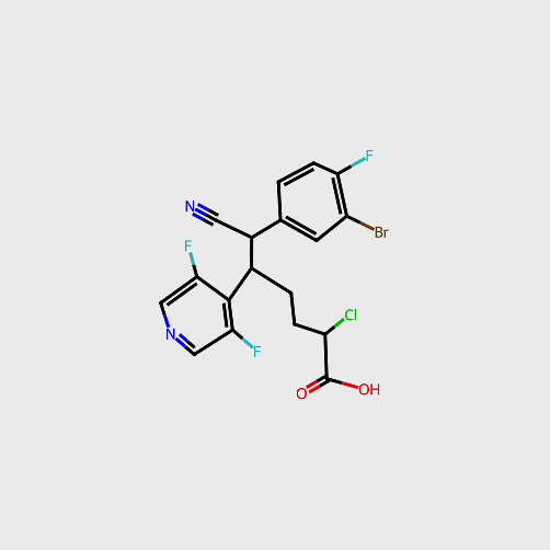 N#CC(c1ccc(F)c(Br)c1)C(CCC(Cl)C(=O)O)c1c(F)cncc1F